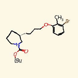 Cc1c(Br)cccc1OCCCC[C@H]1CCCN(C(=O)OC(C)(C)C)C1